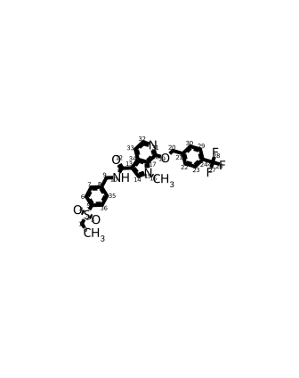 CCS(=O)(=O)c1ccc(CNC(=O)c2cn(C)c3c(OCc4ccc(C(F)(F)F)cc4)nccc23)cc1